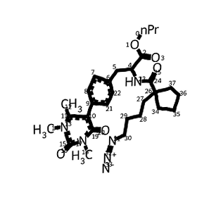 CCCOC(=O)C(Cc1ccc(-c2c(C)n(C)c(=O)n(C)c2=O)cc1)NC(=O)C1(CCCCN=[N+]=[N-])CCCC1